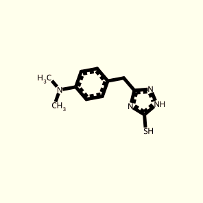 CN(C)c1ccc(Cc2n[nH]c(S)n2)cc1